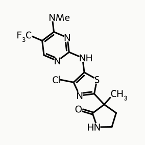 CNc1nc(Nc2sc(C3(C)CCNC3=O)nc2Cl)ncc1C(F)(F)F